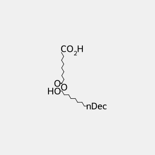 CCCCCCCCCCCCCCCCCC(O)OC(=O)CCCCCCCCC(=O)O